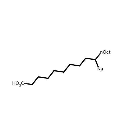 CCCCCCCC[CH]([Na])CCCCCCCCC(=O)O